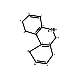 C1=CC2=C(CC1)C1=C(CC=CC1)CN2